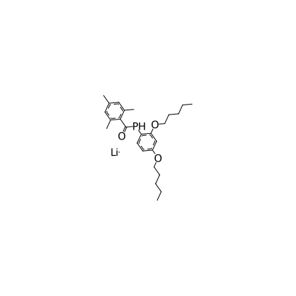 CCCCCOc1ccc(PC(=O)c2c(C)cc(C)cc2C)c(OCCCCC)c1.[Li]